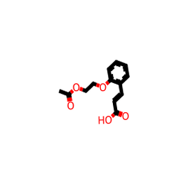 CC(=O)OCCOc1ccccc1C=CC(=O)O